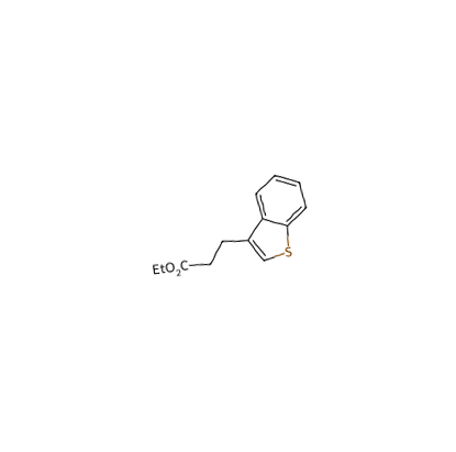 CCOC(=O)CCc1csc2ccccc12